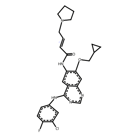 O=C(/C=C/CN1CCCC1)Nc1cc2c(Nc3ccc(F)c(Cl)c3)ncnc2cc1OCC1CC1